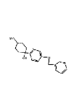 CNC1CCC(O)(c2ccc(OCc3ccccc3)cn2)CC1